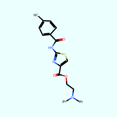 CC(C)N(CCOC(=O)c1csc(NC(=O)c2ccc(C#N)cc2)n1)C(C)C